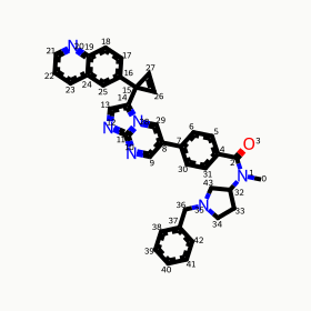 CN(C(=O)c1ccc(-c2cnc3ncc(C4(c5ccc6ncccc6c5)C=C4)n3c2)cc1)C1CCN(Cc2ccccc2)C1